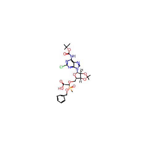 CC(C)(C)OC(=O)Nc1nc(Cl)nc2c1ncn2[C@@H]1O[C@H](COC(C(=O)O)P(C)(=O)OCc2ccccc2)[C@H]2OC(C)(C)O[C@H]21